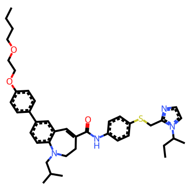 CCCCOCCOc1ccc(-c2ccc3c(c2)C=C(C(=O)Nc2ccc(SCc4nccn4C(C)CC)cc2)CCN3CC(C)C)cc1